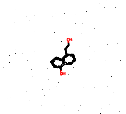 OCCc1cccc2c(O)cccc12